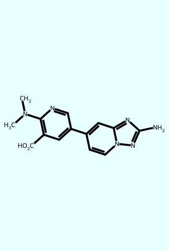 CN(C)c1ncc(-c2ccn3nc(N)nc3c2)cc1C(=O)O